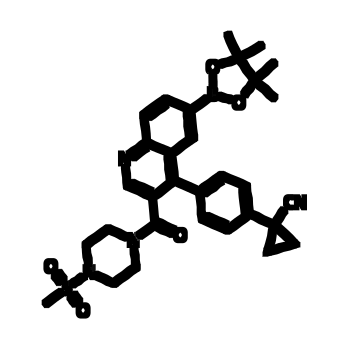 CC1(C)OB(c2ccc3ncc(C(=O)N4CCN(S(C)(=O)=O)CC4)c(-c4ccc(C5(C#N)CC5)cc4)c3c2)OC1(C)C